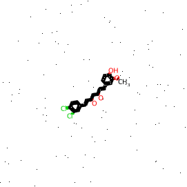 COc1cc(/C=C/C(=O)CC(=O)/C=C/c2ccc(Cl)c(Cl)c2)ccc1O